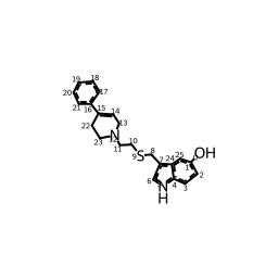 Oc1ccc2[nH]cc(CSCCN3CC=C(c4ccccc4)CC3)c2c1